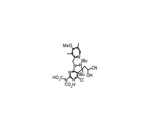 COc1c(C)cnc(CN2c3nc(N(C(=O)O)C(=O)O)nc(Cl)c3C(CC(O)C#N)(C(C)(C)C)N2C(C)(C)C)c1C